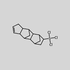 ClS(Cl)(Cl)C1CC2CC1C1C3CC(C4C=CCC43)C21